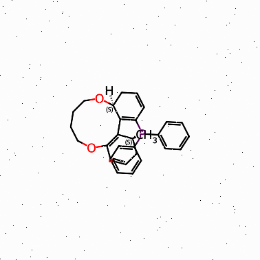 C[C@H]1CC=CC2=C1C1=C(P(c3ccccc3)c3ccccc3)C=CC[C@@H]1OCCCCO2